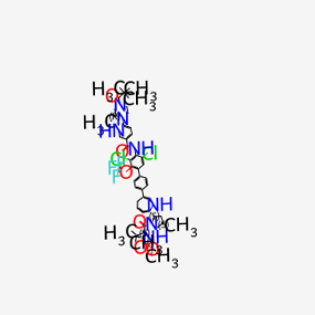 COC(=O)N[C@H](C(=O)N1C[C@@H](C)C[C@H]1C1=C=CCC(c2ccc(-c3cc(Cl)c(NC(=O)C4=CC=C(N5CCN(C(=O)C(C)(C)C)C[C@H]5C)NC4)c(Cl)c3OC(F)(F)F)cc2)=CN1)C(C)C